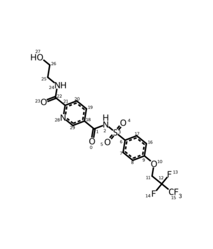 O=C(NS(=O)(=O)c1ccc(OCC(F)(F)C(F)(F)F)cc1)c1ccc(C(=O)NCCO)nc1